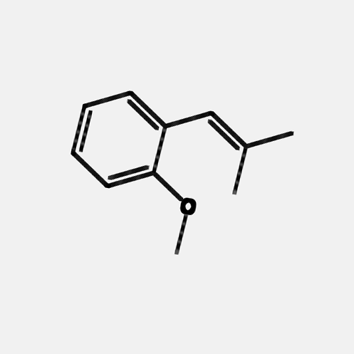 COc1ccccc1C=C(C)C